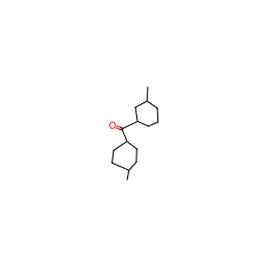 CC1CCC(C(=O)C2CCCC(C)C2)CC1